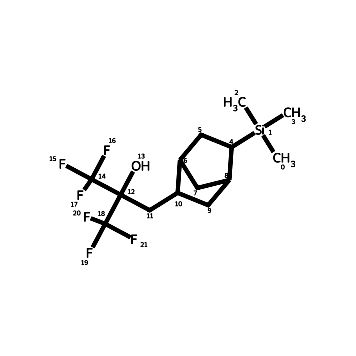 C[Si](C)(C)C1CC2CC1CC2CC(O)(C(F)(F)F)C(F)(F)F